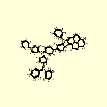 c1ccc(-c2ccc(N(c3ccc(-c4ccc5c6c7ccc8cccc9ccc(cc6n(-c6ccccc6)c5c4)c7c98)cc3)c3ccc(N(c4ccccc4)c4ccccc4)cc3)cc2)cc1